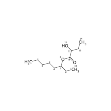 CCCCCC(CC)OC(=O)C(O)CC